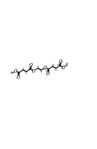 COC(=O)CCC(=O)OCCOC(=O)CCC(=O)OC